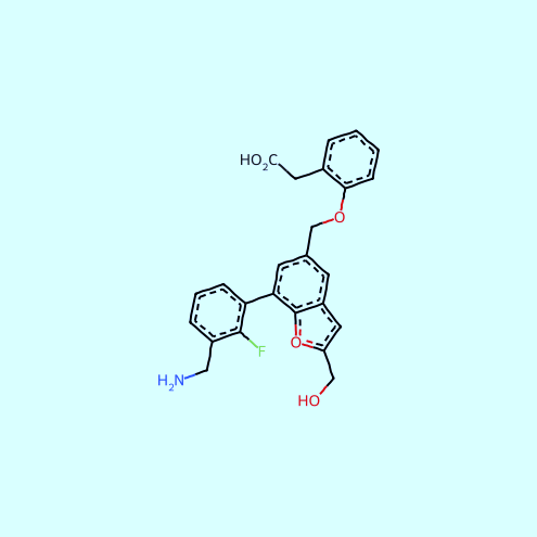 NCc1cccc(-c2cc(COc3ccccc3CC(=O)O)cc3cc(CO)oc23)c1F